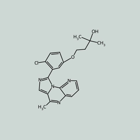 Cc1nc2cccnc2n2c(-c3cc(OCCC(C)(C)O)ccc3Cl)ncc12